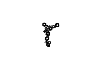 C[C@@H](C(=O)OC(C)(C)C)C1CCN(c2ccc3c(c2)n(C)c(=O)n3-c2ccc(OCc3ccccc3)nc2OCc2ccccc2)CC1